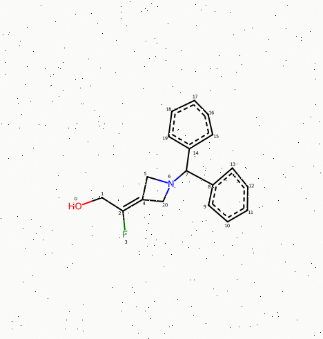 OCC(F)=C1CN(C(c2ccccc2)c2ccccc2)C1